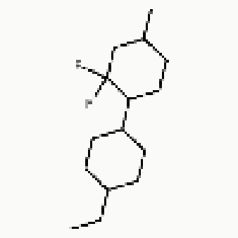 CCC1CCC(C2CCC(C)CC2(F)F)CC1